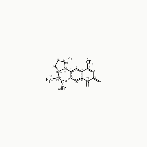 C=C1C=C(C(F)(F)F)c2cc(N3[C@@H]([C@@H](OC(C)C)C(F)(F)F)CC[C@@H]3C)ccc2N1